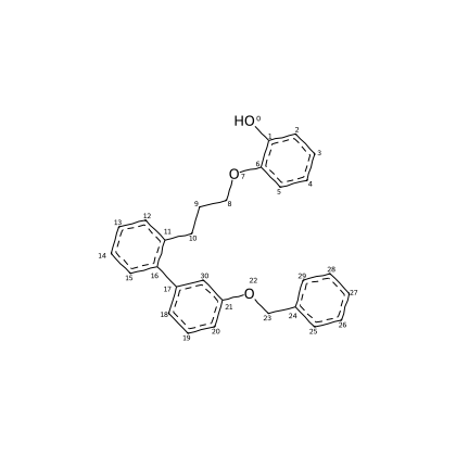 Oc1ccccc1OCCCc1ccccc1-c1cccc(OCc2ccccc2)c1